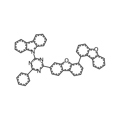 c1ccc(-c2nc(-c3ccc4c(c3)oc3c(-c5cccc6oc7ccccc7c56)cccc34)nc(-n3c4ccccc4c4ccccc43)n2)cc1